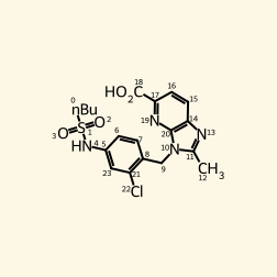 CCCCS(=O)(=O)Nc1ccc(Cn2c(C)nc3ccc(C(=O)O)nc32)c(Cl)c1